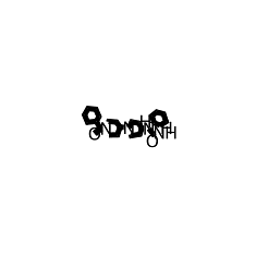 O=C(C1CCCCC1)N1CCC(N2CCC(N3C(=O)N[C@H]4CCCC[C@@H]43)CC2)CC1